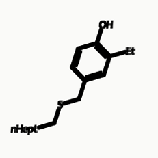 CCCCCCCCSCc1ccc(O)c(CC)c1